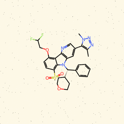 Cc1nnn(C)c1-c1cnc2c3c(OCC(F)F)ccc(S(C)(=O)=O)c3n([C@H](c3ccccc3)C3CCOCC3)c2c1